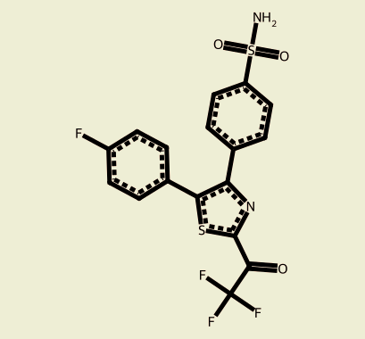 NS(=O)(=O)c1ccc(-c2nc(C(=O)C(F)(F)F)sc2-c2ccc(F)cc2)cc1